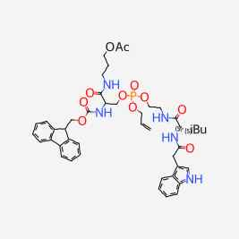 C=CCOP(=O)(OCCNC(=O)[C@@H](NC(=O)Cc1c[nH]c2ccccc12)[C@@H](C)CC)OCC(NC(=O)OCC1c2ccccc2-c2ccccc21)C(=O)NCCCOC(C)=O